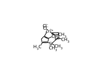 CC1=C2C(C)=[C](C1)[Zr+2][C]1=C(C)C(=C(C)C1)[Si]2(C)C.[Cl-].[Cl-]